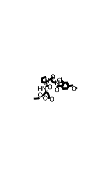 CCO[C@@H]1OC(=O)C[C@@H]1NC(=O)[C@@H]1CCCN1C(=O)CNC(=O)c1ccc(COC)cc1Cl